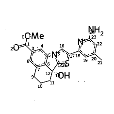 COC(=O)c1ccc2c(c1)CCC[C@]2(O)c1ncc(-c2cc(C)cc(N)n2)s1